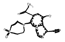 CC(=O)c1cc(Cl)c2c(C#N)ncn2c1N1CCS(=O)(=O)CC1